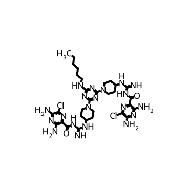 CCCCCCNc1nc(N2CCC(NC(=N)NC(=O)c3nc(Cl)c(N)nc3N)CC2)nc(N2CCC(NC(=N)NC(=O)c3nc(Cl)c(N)nc3N)CC2)n1